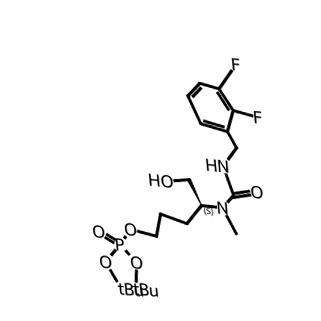 CN(C(=O)NCc1cccc(F)c1F)[C@H](CO)CCCOP(=O)(OC(C)(C)C)OC(C)(C)C